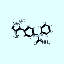 CCn1ncc(Br)c1-c1ccc(N(C(N)=O)c2ccccc2)cc1